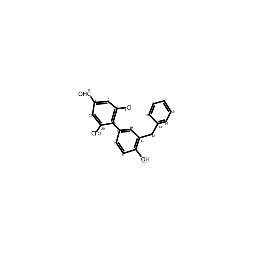 O=Cc1cc(Cl)c(-c2ccc(O)c(Cc3ccccc3)c2)c(Cl)c1